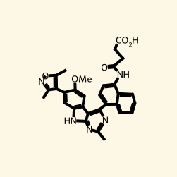 COc1cc2c(cc1-c1c(C)noc1C)[nH]c1nc(C)nc(-c3ccc(NC(=O)CCC(=O)O)c4ccccc34)c12